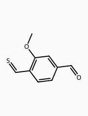 COc1cc(C=O)ccc1C=S